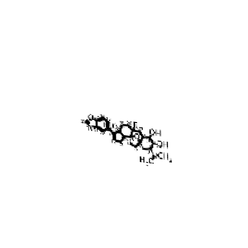 CN(C)[C@H]1C[C@@]23CC[C@]4(O2)C2CC=C(c5ccc6ocnc6c5)[C@@]2(C)CCC4(F)CC3[C@@H](O)[C@@H]1O